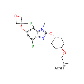 CC(=O)N[C@@H](C)CO[C@H]1CC[C@H](Oc2nc3c(F)cc(OC4(C)COC4)c(F)c3n2C)CC1